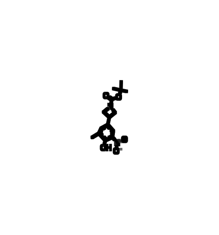 Cc1cc(C2CN(C(=O)OC(C)(C)C)C2)cc([N+](=O)[O-])c1O